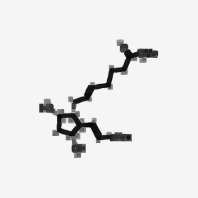 CCCCCCC=C[C@@H]1[C@@H](CC=CCCCC(=O)OC)[C@@H](O)C[C@H]1O